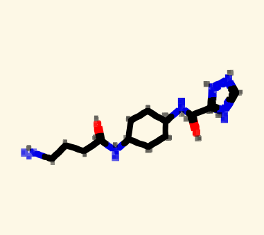 NCCCC(=O)NC1CCC(NC(=O)c2nnc[nH]2)CC1